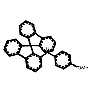 COc1ccc(Nc2cccc3c2C2(c4ccccc4-c4ccccc42)c2ccccc2-3)cc1